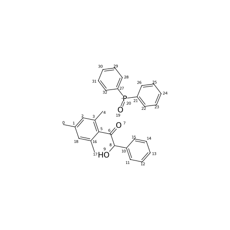 Cc1cc(C)c(C(=O)C(O)c2ccccc2)c(C)c1.O=[P](c1ccccc1)c1ccccc1